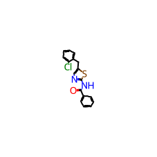 O=C(Nc1ncc(Cc2ccccc2Cl)s1)c1ccccc1